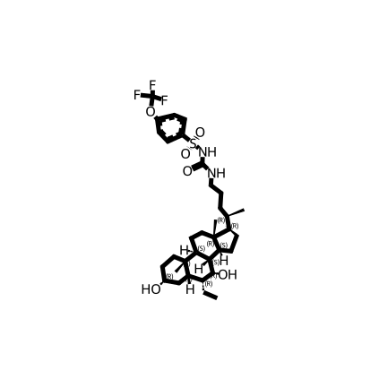 CC[C@H]1[C@@H](O)[C@@H]2[C@H](CC[C@]3(C)[C@@H]([C@H](C)CCCNC(=O)NS(=O)(=O)c4ccc(OC(F)(F)F)cc4)CC[C@@H]23)[C@@]2(C)CC[C@@H](O)C[C@@H]12